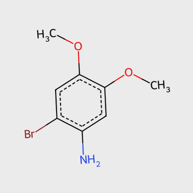 COc1cc(N)c(Br)cc1OC